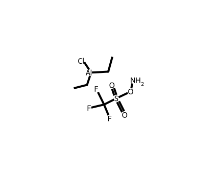 C[CH2][Al]([Cl])[CH2]C.NOS(=O)(=O)C(F)(F)F